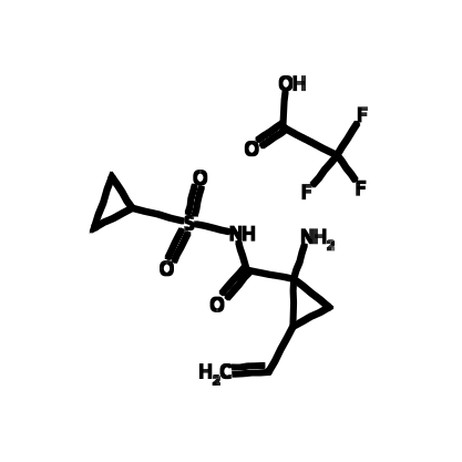 C=CC1CC1(N)C(=O)NS(=O)(=O)C1CC1.O=C(O)C(F)(F)F